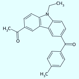 CCn1c2ccc(C(C)=O)cc2c2cc(C(=O)c3ccc(C)cc3)ccc21